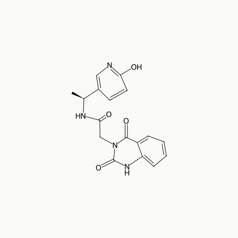 C[C@H](NC(=O)Cn1c(=O)[nH]c2ccccc2c1=O)c1ccc(O)nc1